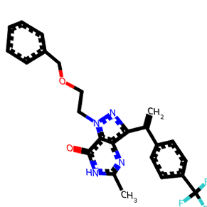 C=C(c1ccc(C(F)(F)F)cc1)c1nn(CCOCc2ccccc2)c2c(=O)[nH]c(C)nc12